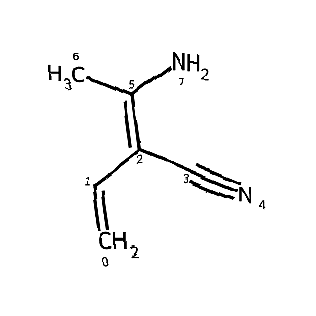 C=C/C(C#N)=C(\C)N